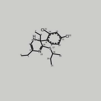 CCC1=CNC(CC)(c2ccc(Cl)cc2Cl)C(SC(C)CC)=N1